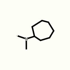 [CH2]N(C)C1CCCCCC1